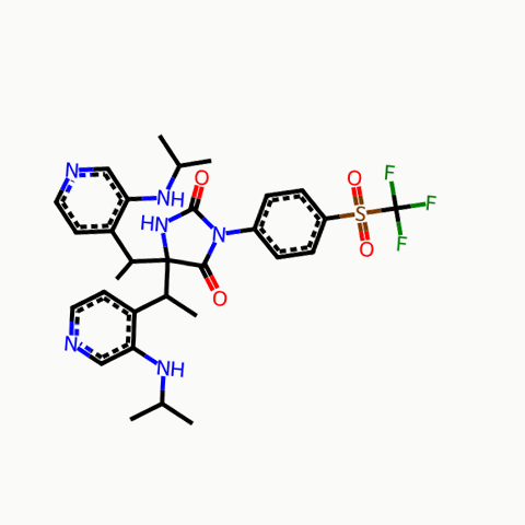 CC(C)Nc1cnccc1C(C)C1(C(C)c2ccncc2NC(C)C)NC(=O)N(c2ccc(S(=O)(=O)C(F)(F)F)cc2)C1=O